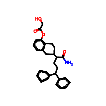 NC(=O)C(CCC(c1ccccc1)c1ccccc1)C1CCc2c(cccc2OC(=O)CO)C1